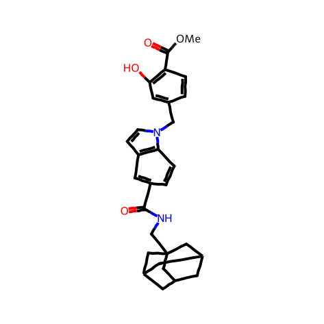 COC(=O)c1ccc(Cn2ccc3cc(C(=O)NCC45CC6CC(CC(C6)C4)C5)ccc32)cc1O